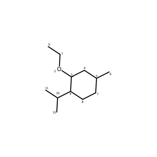 CCO[C]1CC(C)CCC1C(C)C